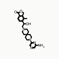 Cc1c(C(O)CN2CCC3(CC2)CCN(c2cncc(N)n2)CC3)ccc2c1COC2=O